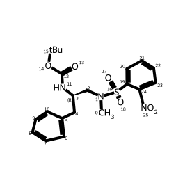 CN(C[C@@H](Cc1ccccc1)NC(=O)OC(C)(C)C)S(=O)(=O)c1ccccc1[N+](=O)[O-]